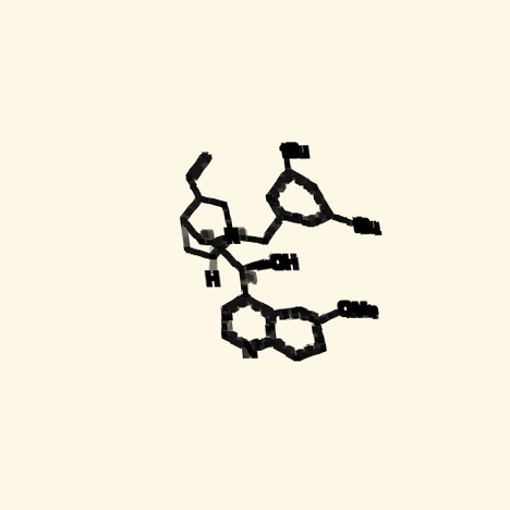 C=CC1C[N+]2(Cc3cc(C(C)(C)C)cc(C(C)(C)C)c3)CCC1C[C@@H]2[C@@H](O)c1ccnc2ccc(OC)cc12